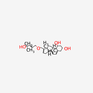 CC(C)(O)/C=C/COCC1=CC[C@H]2C3=CC=C4C[C@@H](O)C[C@H](O)[C@]4(C)[C@H]3CC[C@]12C